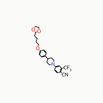 N#Cc1ccc(N2CCC(c3ccc(OCCCCC4OCCO4)cc3)CC2)cc1C(F)(F)F